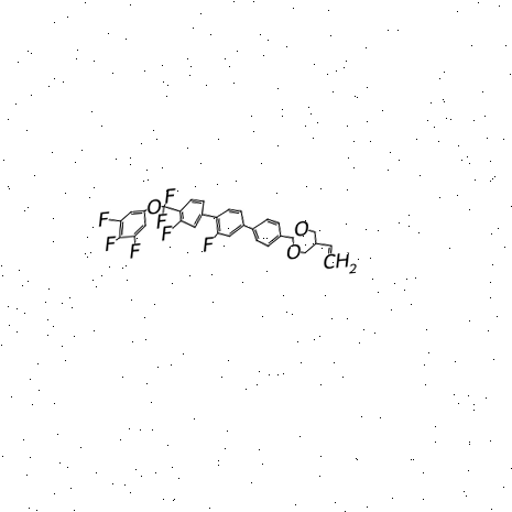 C=CC1COC(c2ccc(-c3ccc(-c4ccc(C(F)(F)Oc5cc(F)c(F)c(F)c5)c(F)c4)c(F)c3)cc2)OC1